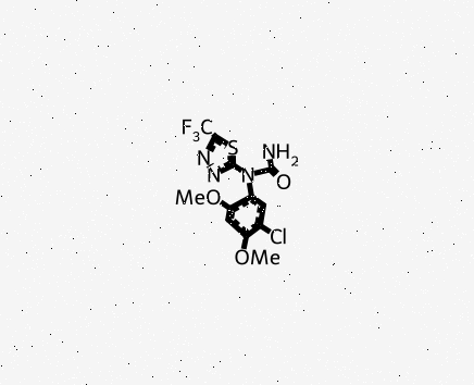 COc1cc(OC)c(N(C(N)=O)c2nnc(C(F)(F)F)s2)cc1Cl